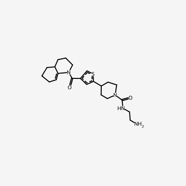 NCCNC(=O)N1CCC(c2cc(C(=O)N3CCCC4CCCC=C43)cs2)CC1